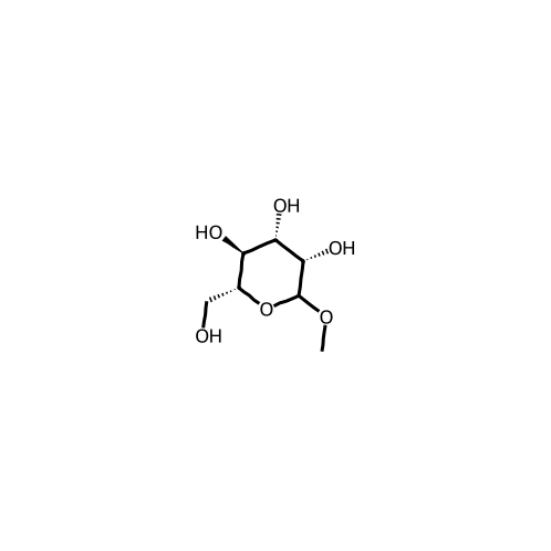 COC1O[C@H](CO)[C@@H](O)[C@H](O)[C@@H]1O